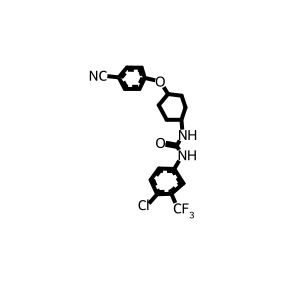 N#Cc1ccc(OC2CCC(NC(=O)Nc3ccc(Cl)c(C(F)(F)F)c3)CC2)cc1